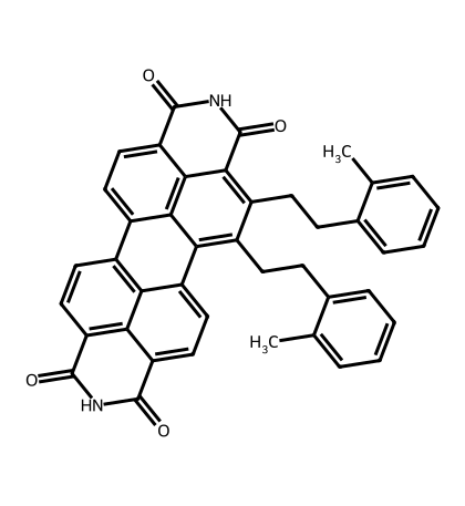 Cc1ccccc1CCc1c2c3c(ccc4c5ccc6c7c(ccc(c(c1CCc1ccccc1C)c34)c75)C(=O)NC6=O)C(=O)NC2=O